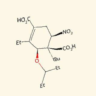 CCC1=C(C(=O)O)C[C@@H]([N+](=O)[O-])[C@](C(=O)O)(C(C)(C)C)[C@H]1OC(CC)CC